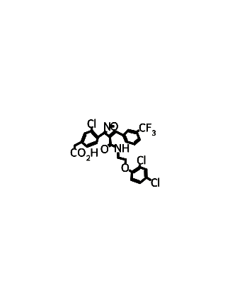 O=C(O)Cc1ccc(-c2noc(-c3cccc(C(F)(F)F)c3)c2C(=O)NCCOc2ccc(Cl)cc2Cl)c(Cl)c1